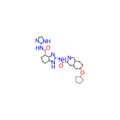 O=C(Nc1nc2c(C(=O)Nc3ncc[nH]3)cccc2[nH]1)c1cc2cc(OC3CCCC3)ccc2cn1